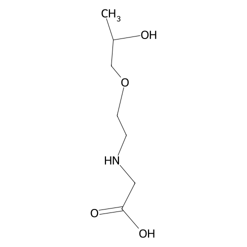 CC(O)COCCNCC(=O)O